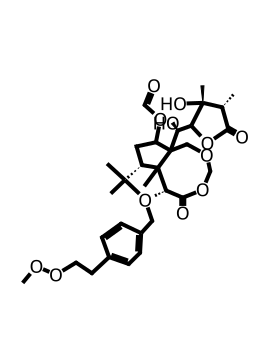 COOCCc1ccc(CO[C@H]2C(=O)OCOCC3([C@@H](O)C4OC(=O)[C@@H](C)[C@@]4(C)O)C(OC=O)C[C@@H](C(C)(C)C)C23C)cc1